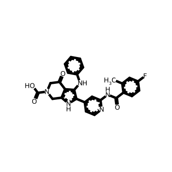 Cc1cc(F)ccc1C(=O)Nc1cc(-c2[nH]c3c(c2Nc2ccccc2)C(=O)CN(C(=O)O)C3)ccn1